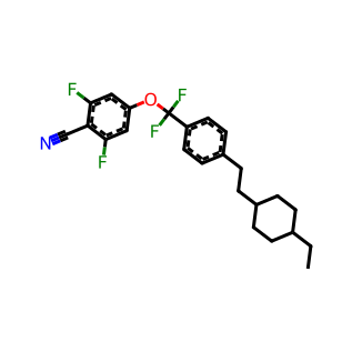 CCC1CCC(CCc2ccc(C(F)(F)Oc3cc(F)c(C#N)c(F)c3)cc2)CC1